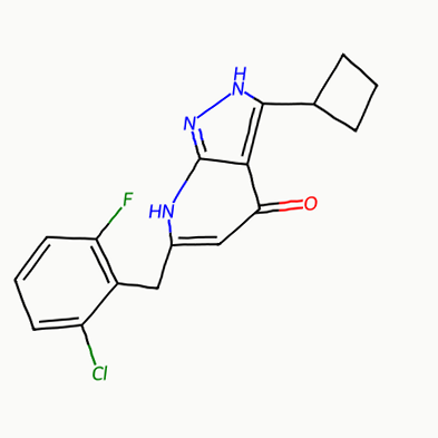 O=c1cc(Cc2c(F)cccc2Cl)[nH]c2n[nH]c(C3CCC3)c12